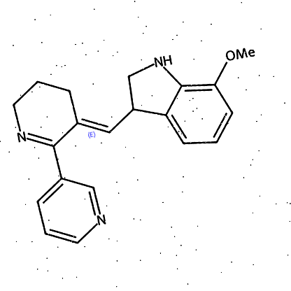 COc1cccc2c1NCC2/C=C1\CCCN=C1c1cccnc1